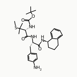 CSC(C)(C)[C@H](NC(=O)OC(C)(C)C)C(=O)N[C@@H](Cc1ccc(N)cc1)C(=O)N[C@@H]1CCCc2ccccc21